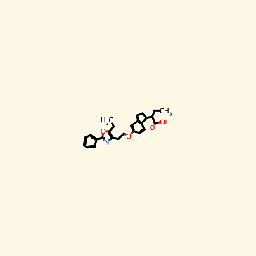 CCc1oc(-c2ccccc2)nc1CCOc1ccc2c(c1)CCC2C(CC)C(=O)O